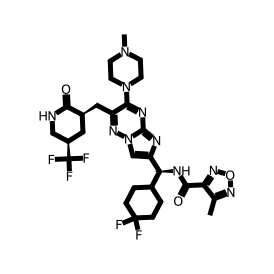 Cc1nonc1C(=O)N[C@H](c1cn2nc(C[C@H]3C[C@@H](C(F)(F)F)CNC3=O)c(N3CCN(C)CC3)nc2n1)C1CCC(F)(F)CC1